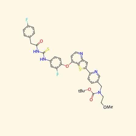 COCCN(Cc1ccc(-c2cc3nccc(Oc4ccc(NC(=S)NC(=O)Cc5ccc(F)cc5)cc4F)c3s2)nc1)C(=O)OC(C)(C)C